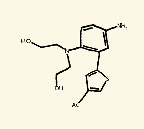 CC(=O)c1csc(-c2cc(N)ccc2N(CCO)CCO)c1